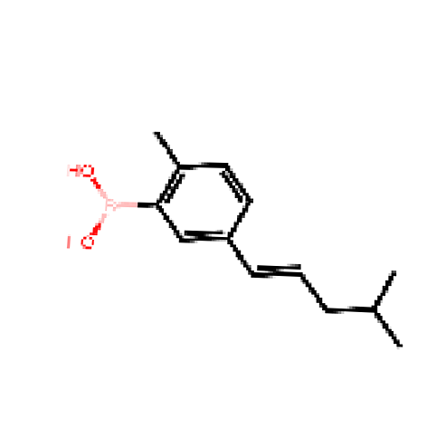 Cc1ccc(/C=C/CC(C)C)cc1B(O)O